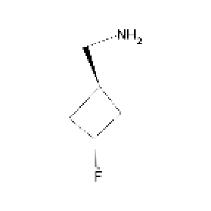 NC[C@H]1C[C@H](F)C1